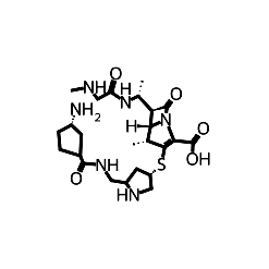 CNCC(=O)N[C@H](C)[C@H]1C(=O)N2C(C(=O)O)=C(S[C@@H]3CNC(CNC(=O)C4CC[C@H](N)C4)C3)[C@H](C)[C@H]12